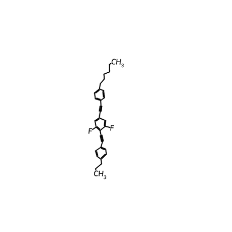 CCCCCCc1ccc(C#Cc2cc(F)c(C#Cc3ccc(CCC)cc3)c(F)c2)cc1